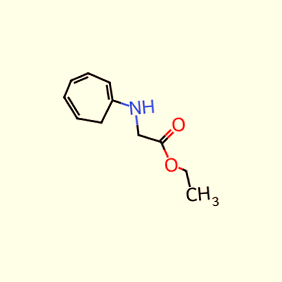 CCOC(=O)CNC1=CC=CC=CC1